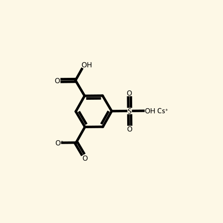 O=C([O-])c1cc(C(=O)O)cc(S(=O)(=O)O)c1.[Cs+]